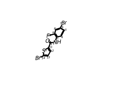 O=C(Nc1ccc(Br)cc1F)c1ccc(Br)s1